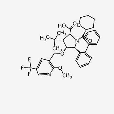 COc1ncc(C(F)(F)F)cc1CO[C@H]1[C@H](C(C)(C)C)[C@@H](C(=O)O)N(C(=O)[C@@H]2CCCCO2)[C@H]1c1ccccc1-c1ccccc1